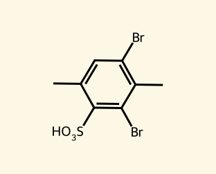 Cc1cc(Br)c(C)c(Br)c1S(=O)(=O)O